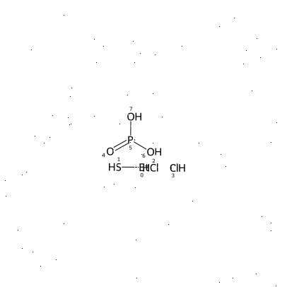 CCS.Cl.Cl.O=[P](O)O